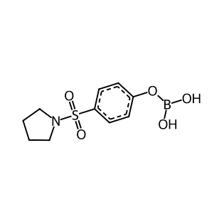 O=S(=O)(c1ccc(OB(O)O)cc1)N1CCCC1